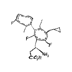 CCOC(=O)C[C@H](N)c1c(F)c(-c2cccc(F)c2C)c(C)c(C2CC2)c1F